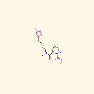 Cc1cc(CCCCN(C)C(=O)c2cccnc2N(C)C=O)on1